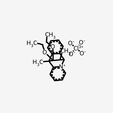 CCOC1(OCC)C(C)C2c3ccccc3C1(C)c1cccc[n+]12.[O-][Cl+3]([O-])([O-])[O-]